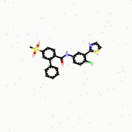 CS(=O)(=O)c1ccc(C(=O)Nc2ccc(Cl)c(-c3nccs3)c2)c(-c2ccccc2)c1